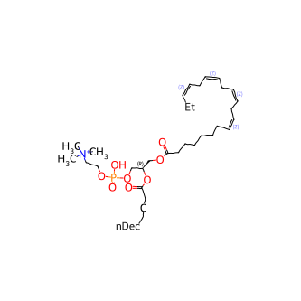 CC/C=C\C/C=C\C/C=C\C/C=C\CCCCCCC(=O)OC[C@H](COP(=O)(O)OCC[N+](C)(C)C)OC(=O)CCCCCCCCCCCCC